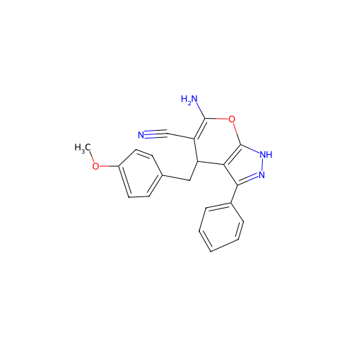 COc1ccc(CC2C(C#N)=C(N)Oc3[nH]nc(-c4ccccc4)c32)cc1